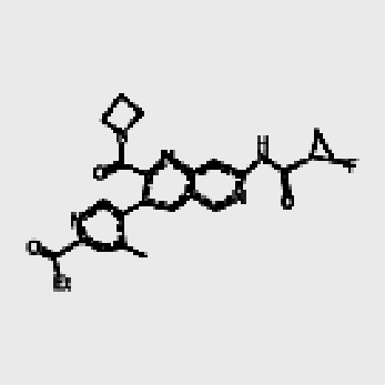 CCC(=O)c1cc(C)c(-c2cc3cnc(NC(=O)[C@H]4C[C@H]4F)cc3nc2C(=O)N2CCC2)cn1